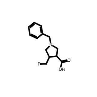 O=C(O)C1CN(Cc2ccccc2)CC1CF